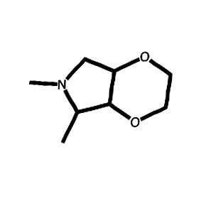 CC1C2OCCOC2CN1C